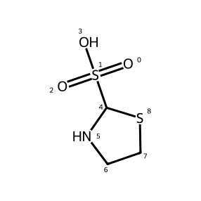 O=S(=O)(O)C1NCCS1